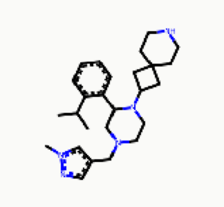 CC(C)c1ccccc1C1CN(Cc2cnn(C)c2)CCN1C1CC2(CCNCC2)C1